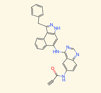 C#CC(=O)Nc1ccc2ncnc(Nc3cc4[nH]nc(Cc5ccccc5)c4c4ccccc34)c2c1